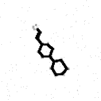 CC=CC1CCC(C2CCCCC2)CC1